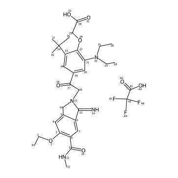 CCOc1cc2c(cc1C(=O)NC)C(=N)N(CC(=O)c1cc(N(CC)CC)c(OCC(=O)O)c(C(C)(C)C)c1)C2.O=C(O)C(F)(F)F